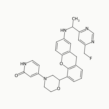 CC(Nc1ccc2c(c1)Cc1cccc(C3CN(c4cc[nH]c(=O)c4)CCO3)c1O2)c1cc(CF)ncn1